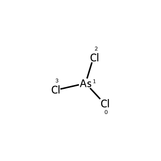 Cl[As](Cl)Cl